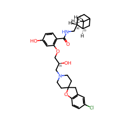 CC1(C)C2CC[C@@H](CNC(=O)c3ccc(O)cc3OC[C@@H](O)CN3CCC4(CC3)Cc3cc(Cl)ccc3O4)[C@@H]1C2